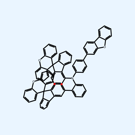 c1ccc2c(c1)Oc1ccccc1C21c2ccccc2-c2cc(-c3ccccc3N(c3ccc(-c4ccc5c(c4)oc4ccccc45)cc3)c3cccc4c3-c3ccccc3C43c4ccccc4Oc4ccccc43)ccc21